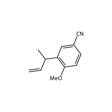 [CH2]C(C=C)c1cc(C#N)ccc1OC